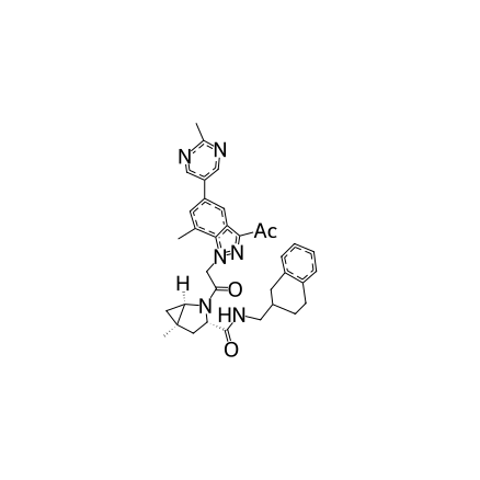 CC(=O)c1nn(CC(=O)N2[C@H](C(=O)NCC3CCc4ccccc4C3)C[C@@]3(C)C[C@@H]23)c2c(C)cc(-c3cnc(C)nc3)cc12